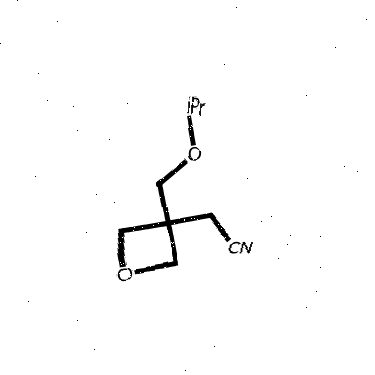 CC(C)OCC1(CC#N)COC1